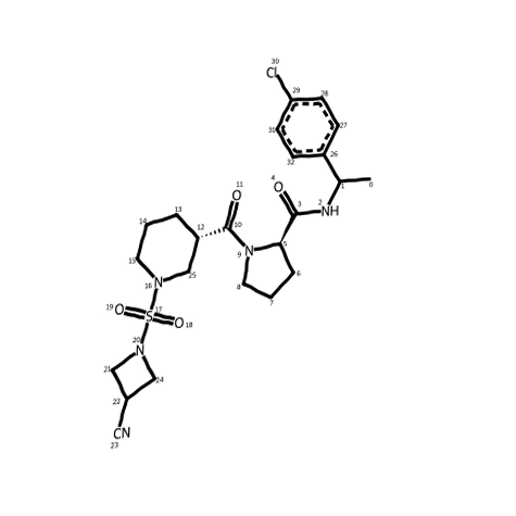 CC(NC(=O)[C@H]1CCCN1C(=O)[C@H]1CCCN(S(=O)(=O)N2CC(C#N)C2)C1)c1ccc(Cl)cc1